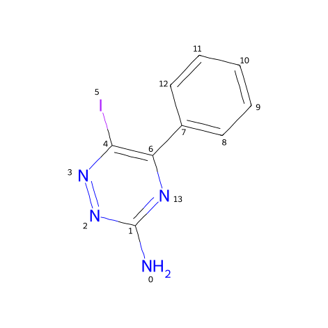 Nc1nnc(I)c(-c2ccccc2)n1